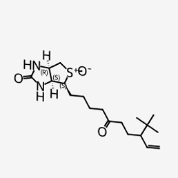 C=CC(CCC(=O)CCCC[C@H]1[C@H]2NC(=O)N[C@H]2C[S+]1[O-])C(C)(C)C